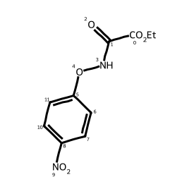 CCOC(=O)C(=O)NOc1ccc([N+](=O)[O-])cc1